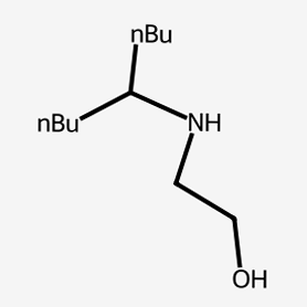 CCCCC(CCCC)NCCO